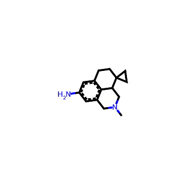 CN1Cc2cc(N)cc3c2C(C1)C1(CC3)CC1